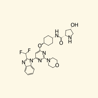 O=C(N[C@H]1CC[C@H](Oc2cc(-n3c(C(F)F)nc4ccccc43)nc(N3CCOCC3)n2)CC1)[C@@H]1C[C@H](O)CN1